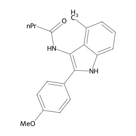 CCCC(=O)Nc1c(-c2ccc(OC)cc2)[nH]c2cccc(C)c12